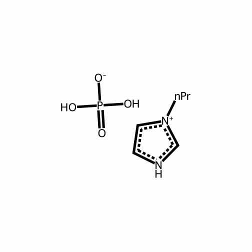 CCC[n+]1cc[nH]c1.O=P([O-])(O)O